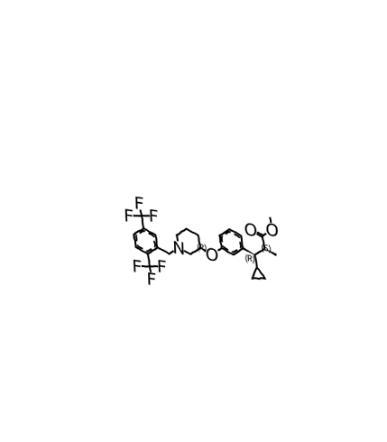 COC(=O)[C@@H](C)[C@H](c1cccc(O[C@@H]2CCCN(Cc3cc(C(F)(F)F)ccc3C(F)(F)F)C2)c1)C1CC1